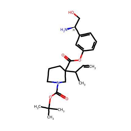 C=CC(C)C1(C(=O)Oc2cccc([C@@H](N)CO)c2)CCCN(C(=O)OC(C)(C)C)C1